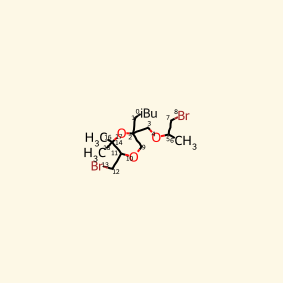 CCC(C)CC1(COC(C)CBr)COC(CBr)C(C)(C)O1